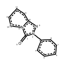 O=c1n(-c2ccccc2)nc2cccnn12